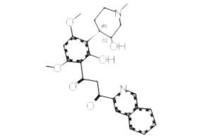 COc1cc(OC)c([C@H]2CCN(C)C[C@H]2O)c(O)c1C(=O)CC(=O)c1cc2ccccc2cn1